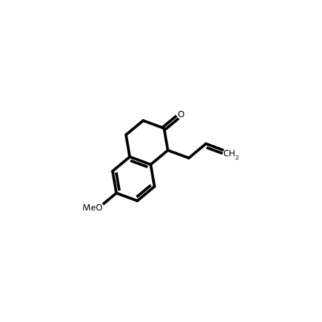 C=CCC1C(=O)CCc2cc(OC)ccc21